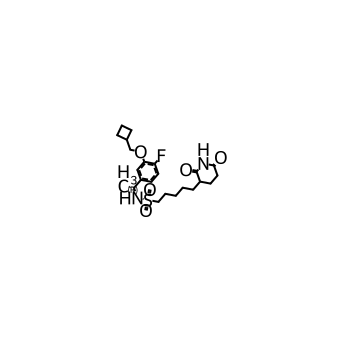 C[C@@H](NS(=O)(=O)CCCCCC1CCC(=O)NC1=O)c1ccc(F)c(OCC2CCC2)c1